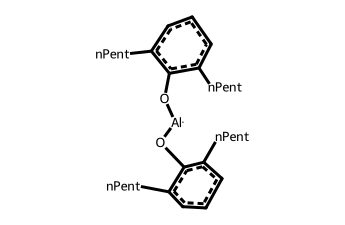 CCCCCc1cccc(CCCCC)c1[O][Al][O]c1c(CCCCC)cccc1CCCCC